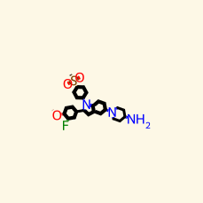 COc1ccc(-c2cc3cc(N4CCC(N)CC4)ccc3n2-c2ccc(S(C)(=O)=O)cc2)cc1F